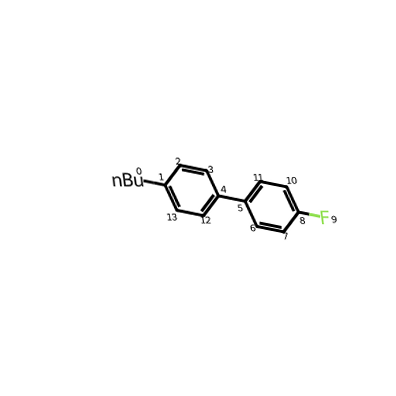 CCCCc1ccc(-c2ccc(F)cc2)cc1